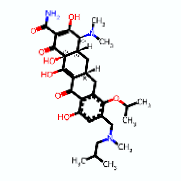 CC(C)CN(C)Cc1cc(O)c2c(c1OC(C)C)C[C@H]1C[C@H]3[C@H](N(C)C)C(O)=C(C(N)=O)C(=O)[C@@]3(O)C(O)=C1C2=O